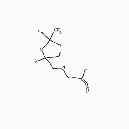 O=C(F)COCC(F)(F)OC(F)(F)C(F)(F)F